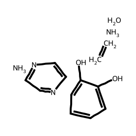 C=C.N.N.O.Oc1ccccc1O.c1cnccn1